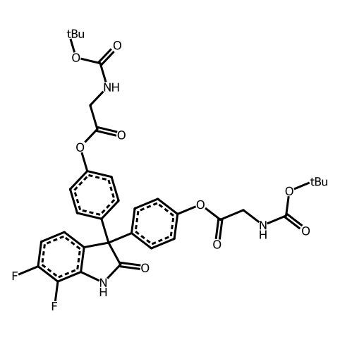 CC(C)(C)OC(=O)NCC(=O)Oc1ccc(C2(c3ccc(OC(=O)CNC(=O)OC(C)(C)C)cc3)C(=O)Nc3c2ccc(F)c3F)cc1